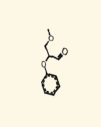 COCC(C=O)Oc1ccccc1